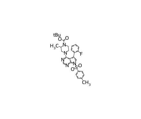 Cc1ccc(S(=O)(=O)n2cc(-c3ccccc3F)c3c(N4CCN(C(=O)OC(C)(C)C)C(C)C4)ncnc32)cc1